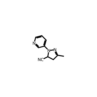 CC1=NN(c2cccnc2)C(C#N)C1